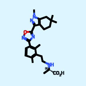 Cc1ccc(-c2noc(-c3nn(C)c4c3CCC(C)(C)C4)n2)c(C)c1CCN[C@@H](C)C(=O)O